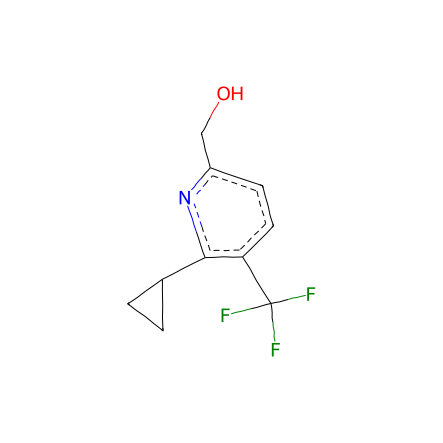 OCc1ccc(C(F)(F)F)c(C2CC2)n1